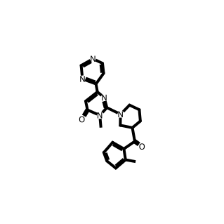 Cc1ccccc1C(=O)C1CCCN(c2nc(-c3ccncn3)cc(=O)n2C)C1